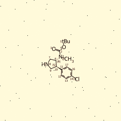 CN(C(=O)OC(C)(C)C)[C@H]1CNC[C@@H]1c1ccc(Cl)cc1